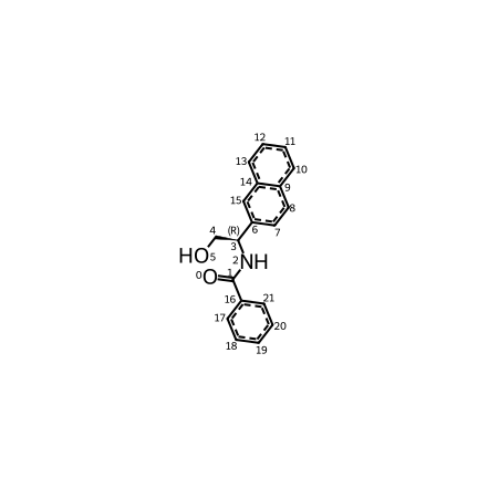 O=C(N[C@@H](CO)c1ccc2ccccc2c1)c1ccccc1